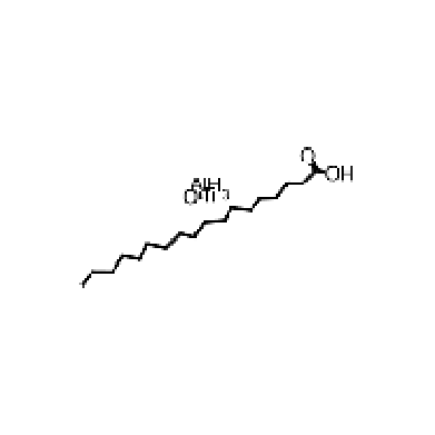 CCCCCCCCCCCCCCCCCC(=O)O.[AlH3].[O]=[Ti]